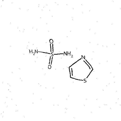 NS(N)(=O)=O.c1cscn1